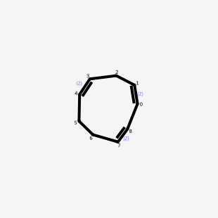 C1=C\C/C=C\CC\C=C/1